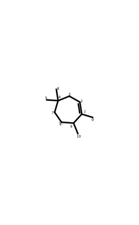 CC1=CCC(C)(C)C[CH]C1C